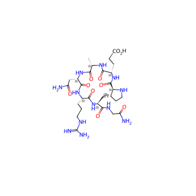 CC(C)[C@H](NC(=O)[C@H](CCCNC(=N)N)NC(=O)[C@H](CC(N)=O)NC(=O)[C@H](C)NC(=O)[C@H](CCC(=O)O)NC(=O)[C@@H]1CCCN1)C(=O)NCC(N)=O